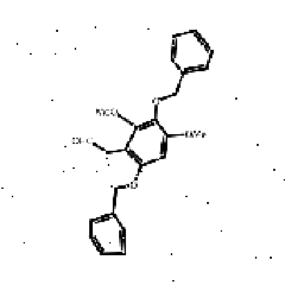 COc1cc(OCc2ccccc2)c(CC=O)c(OC)c1OCc1ccccc1